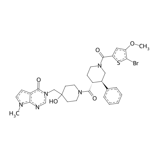 COc1cc(C(=O)N2CC[C@@H](C(=O)N3CCC(O)(Cn4cnc5c(ccn5C)c4=O)CC3)[C@H](c3ccccc3)C2)sc1Br